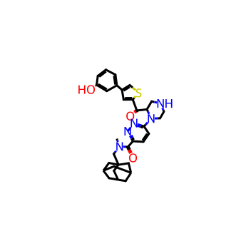 CN(CC12CC3CC(CC(C3)C1)C2)C(=O)c1ccc(N2CCNCC2C(=O)c2cc(-c3cccc(O)c3)cs2)nn1